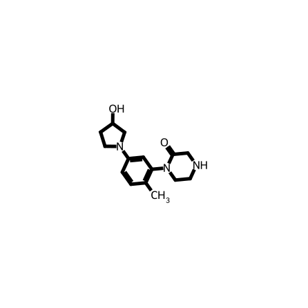 Cc1ccc(N2CCC(O)C2)cc1N1CCNCC1=O